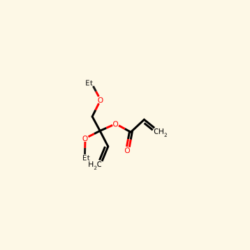 C=CC(=O)OC(C=C)(COCC)OCC